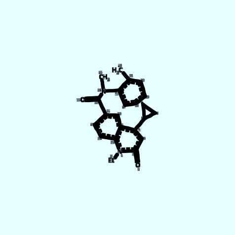 CCn1c(=O)cc(C2CC2)c2cc(C(=O)N(C)c3ccccc3C)ccc21